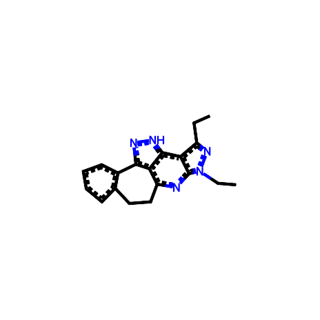 CCc1nn(CC)c2nc3c4c(n[nH]c4c12)-c1ccccc1CC3